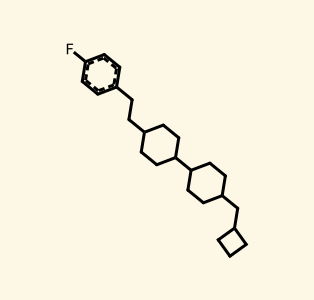 Fc1ccc(CCC2CCC(C3CCC(CC4CCC4)CC3)CC2)cc1